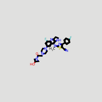 CN(c1nc(-c2ccc(F)cc2)c(C#N)s1)c1c2c(nc3c(F)cc(N4CCN(CC(=O)N5CC(O)C5)CC4)cc13)CCN2